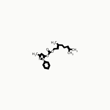 CC(C)=CCC/C(C)=C/COC(=O)Oc1cc(C)nn1-c1ccccc1